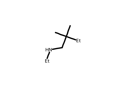 CCNCC(C)(C)CC